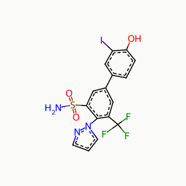 NS(=O)(=O)c1cc(-c2ccc(O)c(I)c2)cc(C(F)(F)F)c1-n1cccn1